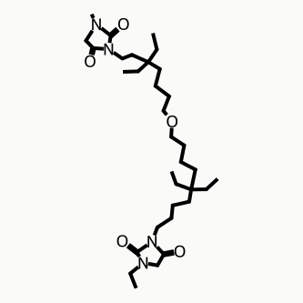 CCN1CC(=O)N(CCCCC(CC)(CC)CCCCOCCCCC(CC)(CC)CCN2C(=O)CN(C)C2=O)C1=O